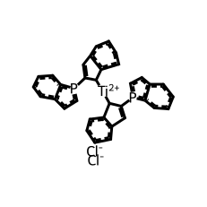 C1=C(p2ccc3ccccc32)[CH]([Ti+2][CH]2C(p3ccc4ccccc43)=Cc3ccccc32)c2ccccc21.[Cl-].[Cl-]